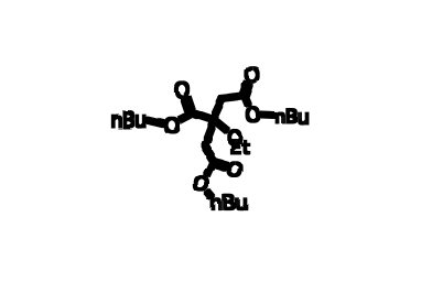 CCCCOC(=O)CC(CC(=O)OCCCC)(OCC)C(=O)OCCCC